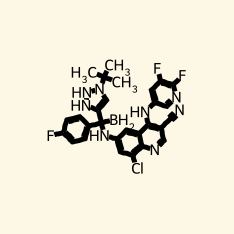 BC(Nc1cc(Cl)c2ncc(C#N)c(Nc3cnc(F)c(F)c3)c2c1)(C1=CN(C(C)(C)C)NN1)c1ccc(F)cc1